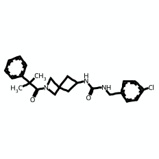 CC(C)(C(=O)N1CC2(CC(NC(=O)NCc3ccc(Cl)cc3)C2)C1)c1ccccc1